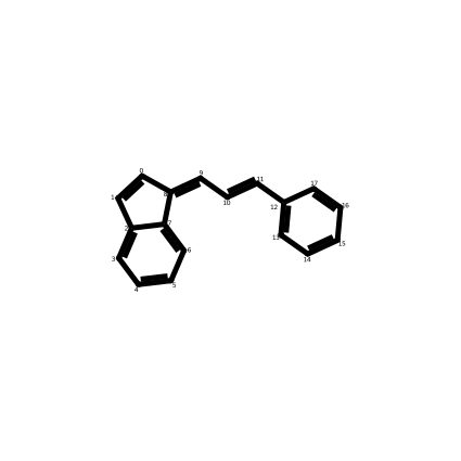 C1=Cc2ccccc2/C1=C\C=C\c1ccccc1